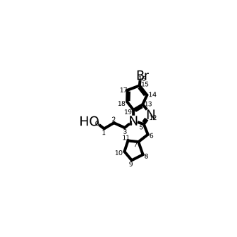 OCCCn1c(CC2CCCC2)nc2cc(Br)ccc21